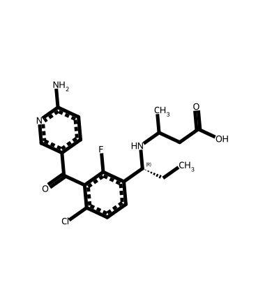 CC[C@@H](NC(C)CC(=O)O)c1ccc(Cl)c(C(=O)c2ccc(N)nc2)c1F